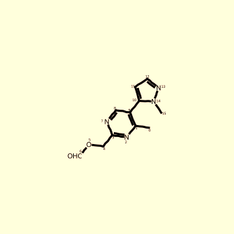 Cc1nc(COC=O)ncc1-c1ccnn1C